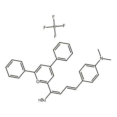 CCCCC(=CC=Cc1ccc(N(C)C)cc1)c1cc(-c2ccccc2)cc(-c2ccccc2)[o+]1.F[B-](F)(F)F